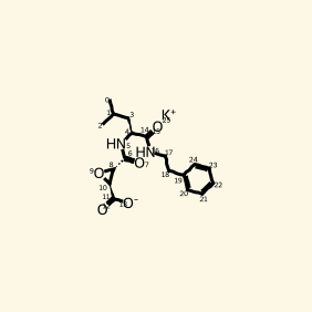 CC(C)C[C@H](NC(=O)[C@H]1O[C@@H]1C(=O)[O-])C(=O)NCCc1ccccc1.[K+]